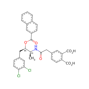 C[C@H](NC(=O)Cc1ccc(C(=O)O)c(C(=O)O)c1)[C@@H](Cc1ccc(Cl)c(Cl)c1)OC(=O)c1ccc2ccccc2c1